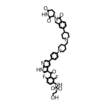 O=C1CC[C@H](N2Cc3cc(C4CCN(CC5CCN(c6ccc(-c7cnc8[nH]cc(C(=O)c9c(F)ccc(NS(=O)(=O)CCO)c9F)c8c7)cc6)CC5)CC4)ccc3C2=O)C(=O)N1